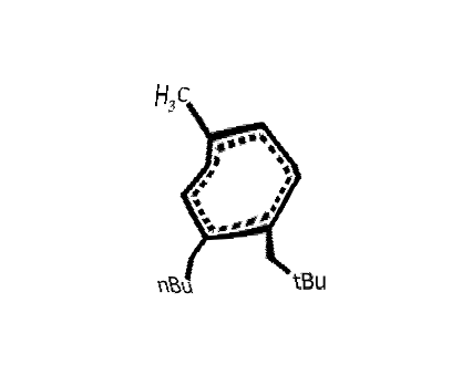 CCCCc1cc(C)ccc1C(C)(C)C